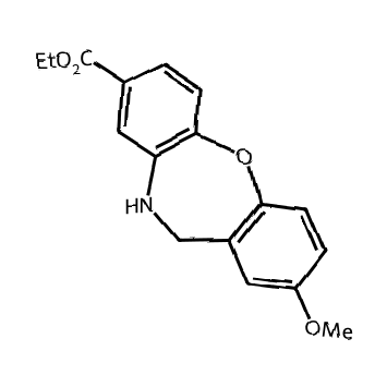 CCOC(=O)c1ccc2c(c1)NCc1cc(OC)ccc1O2